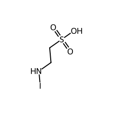 O=S(=O)(O)CCNI